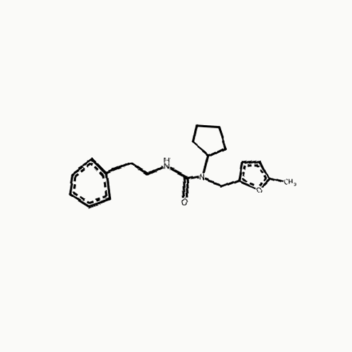 Cc1ccc(CN(C(=O)NCCc2ccccc2)C2CCCC2)o1